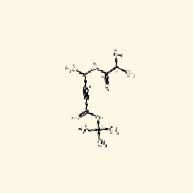 CC(C#CC(=O)OC(C)(C)C)OC(=O)C(C)O